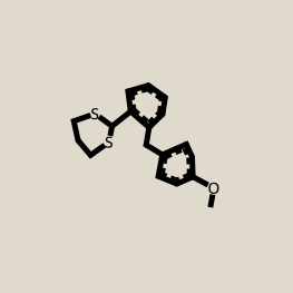 COc1ccc(Cc2ccccc2C2SCCCS2)cc1